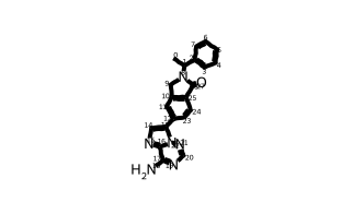 CC(c1ccccc1)N1Cc2cc(-c3cnc4c(N)ncnn34)ccc2C1=O